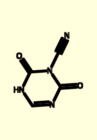 N#Cn1c(=O)nc[nH]c1=O